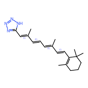 CC1=C(/C=C/C(C)=C/C=C/C(C)=C/c2nnn[nH]2)C(C)(C)CCC1